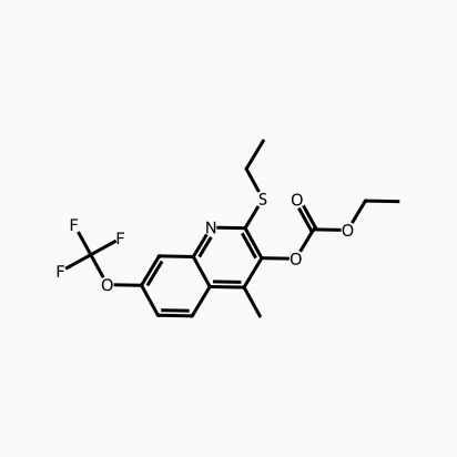 CCOC(=O)Oc1c(SCC)nc2cc(OC(F)(F)F)ccc2c1C